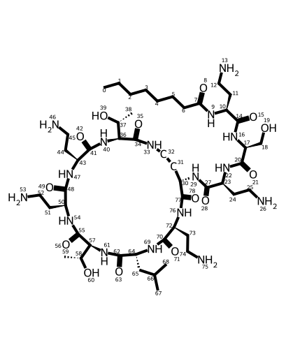 CCCCCCCC(=O)N[C@@H](CCN)C(=O)N[C@@H](CO)C(=O)N[C@@H](CCN)C(=O)N[C@H]1CCNC(=O)[C@H]([C@@H](C)O)NC(=O)[C@H](CCN)NC(=O)[C@H](CCN)NC(=O)[C@H]([C@@H](C)O)NC(=O)[C@@H](CC(C)C)NC(=O)[C@H](CCN)NC1=O